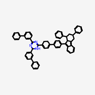 C1=C(C2=NC(c3cccc(-c4ccccc4)c3)=NC(c3cccc(-c4ccccc4)c3)N2)CCC(c2ccc(C3=c4ccccc4=C4CC(c5ccccc5)CC(c5ccccc5)C43)cc2)=C1